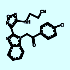 N#CCCNc1nonc1-c1nc2ccccc2n1CC(=O)c1ccc(Cl)cc1